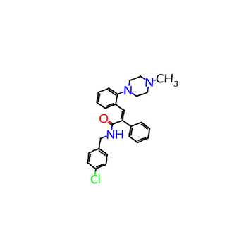 CN1CCN(c2ccccc2/C=C(\C(=O)NCc2ccc(Cl)cc2)c2ccccc2)CC1